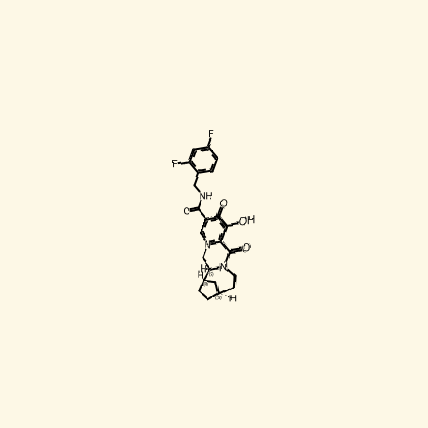 O=C(NCc1ccc(F)cc1F)c1cn2c(c(O)c1=O)C(=O)N1CC[C@H]3CC[C@H](C3)[C@H]1C2